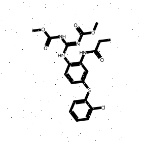 CCC(=O)Nc1cc(Sc2ccccc2Cl)ccc1NC(=NC(=O)OC)NC(=O)OC